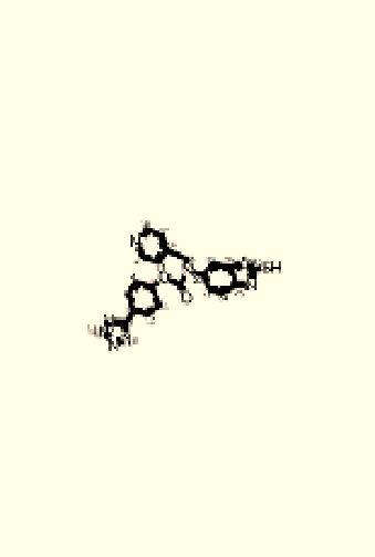 O=C(Oc1ccc(-c2nn[nH]n2)cc1)N(Cc1ccncc1)c1ccc2nc(S)sc2c1